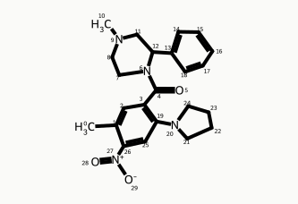 Cc1cc(C(=O)N2CCN(C)CC2c2ccccc2)c(N2CCCC2)cc1[N+](=O)[O-]